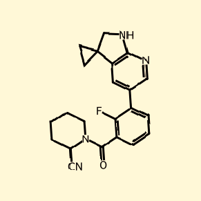 N#CC1CCCCN1C(=O)c1cccc(-c2cnc3c(c2)C2(CC2)CN3)c1F